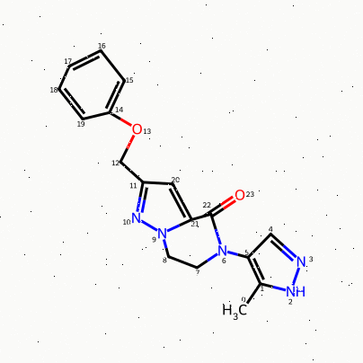 Cc1[nH]ncc1N1CCn2nc(COc3ccccc3)cc2C1=O